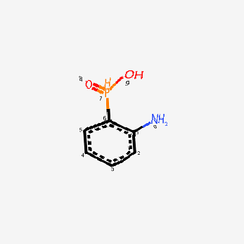 Nc1ccccc1[PH](=O)O